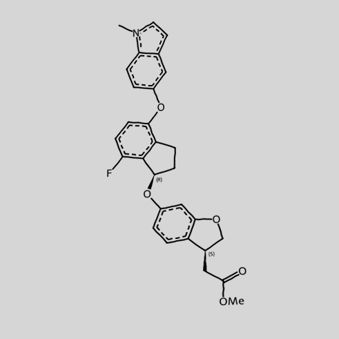 COC(=O)C[C@@H]1COc2cc(O[C@@H]3CCc4c(Oc5ccc6c(ccn6C)c5)ccc(F)c43)ccc21